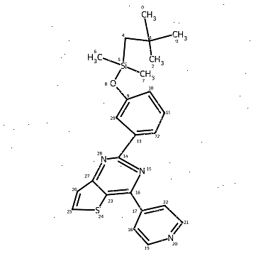 CC(C)(C)C[Si](C)(C)Oc1cccc(-c2nc(-c3ccncc3)c3sccc3n2)c1